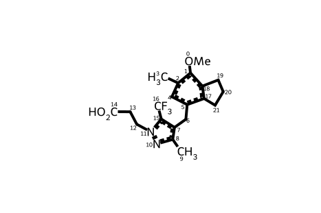 COc1c(C)cc(Cc2c(C)nn(CCC(=O)O)c2C(F)(F)F)c2c1CCC2